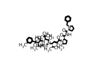 CN[C@H](C(=O)N[C@H](C(=O)N(C)[C@H](/C=C(\C)C(=O)N1CCC[C@@H]1C(=O)NC(=O)[C@H]1CCCN1Cc1ccccc1)C(C)C)C(C)(C)C)C(C)(C)c1cccc(C)c1